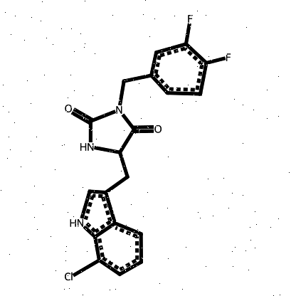 O=C1NC(Cc2c[nH]c3c(Cl)cccc23)C(=O)N1Cc1ccc(F)c(F)c1